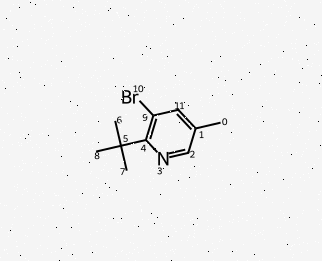 Cc1cnc(C(C)(C)C)c(Br)c1